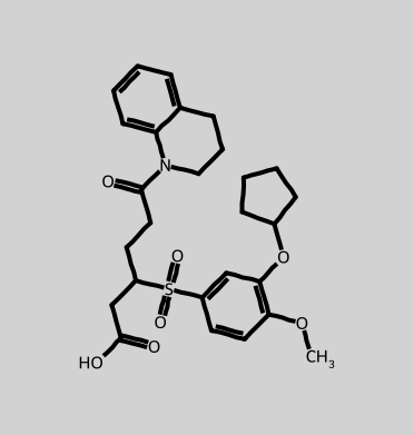 COc1ccc(S(=O)(=O)C(CCC(=O)N2CCCc3ccccc32)CC(=O)O)cc1OC1CCCC1